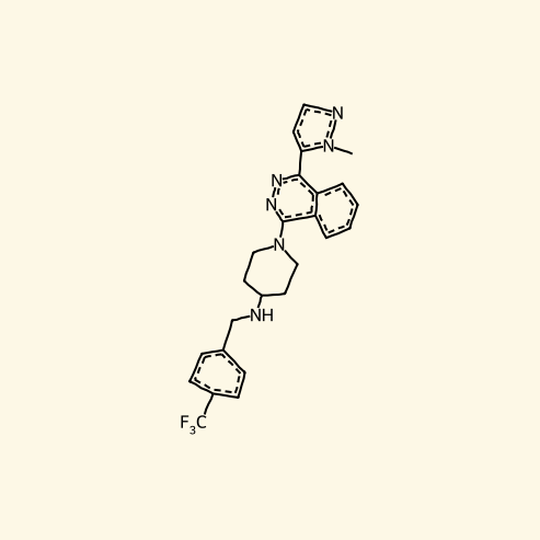 Cn1nccc1-c1nnc(N2CCC(NCc3ccc(C(F)(F)F)cc3)CC2)c2ccccc12